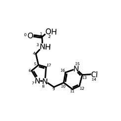 O=C(O)NCc1cnn(Cc2ccc(Cl)nc2)c1